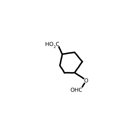 O=COC1CCC(C(=O)O)CC1